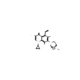 C=Cc1c(F)c(N2CC3CC2CN3C)c(F)c2c1c(=O)c(OC(=O)O)cn2C1CC1